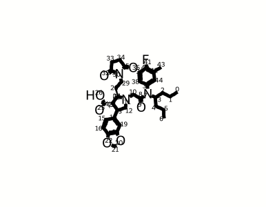 CCCC(CCC)N(C(=O)CN1CC(c2ccc3c(c2)OCO3)[C@H](C(=O)O)[C@H]1CCN1C(=O)CCC1=O)c1ccc(F)c(C)c1